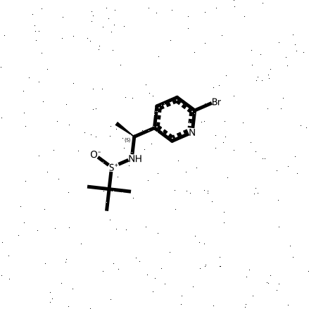 C[C@H](N[S+]([O-])C(C)(C)C)c1ccc(Br)nc1